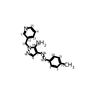 Cc1ccc(N=Nc2cnn(Cc3cccnc3)c2N)cc1